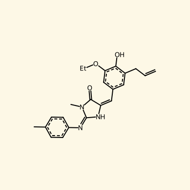 C=CCc1cc(/C=C2/N/C(=N/c3ccc(C)cc3)N(C)C2=O)cc(OCC)c1O